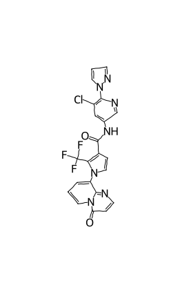 O=C(Nc1cnc(-n2cccn2)c(Cl)c1)c1ccn(-c2cccn3c(=O)ccnc23)c1C(F)(F)F